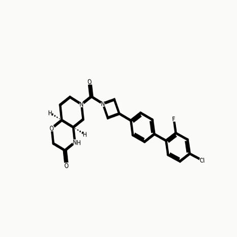 O=C1CO[C@H]2CCN(C(=O)N3CC(c4ccc(-c5ccc(Cl)cc5F)cc4)C3)C[C@H]2N1